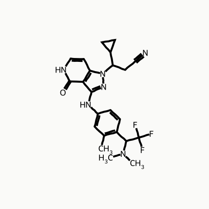 Cc1cc(Nc2nn(C(CC#N)C3CC3)c3cc[nH]c(=O)c23)ccc1C(N(C)C)C(F)(F)F